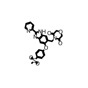 CS(=O)(=O)c1ccc(Oc2cc3nc(-c4ccccn4)[nH]c3cc2CN2C(=O)COCC2=O)cc1